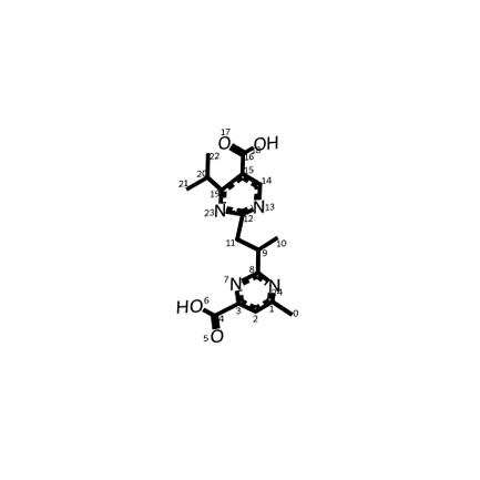 Cc1cc(C(=O)O)nc(C(C)Cc2ncc(C(=O)O)c(C(C)C)n2)n1